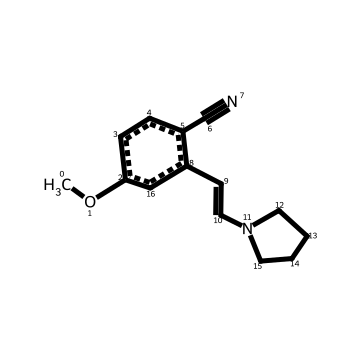 COc1ccc(C#N)c(/C=C/N2CCCC2)c1